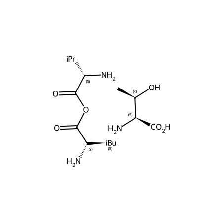 CC[C@H](C)[C@H](N)C(=O)OC(=O)[C@@H](N)C(C)C.C[C@@H](O)[C@H](N)C(=O)O